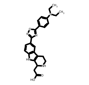 CCN(CC)c1ccc(-c2nc(-c3ccc4[nH]c5c(c4c3)CCNC5CC(=O)O)no2)cc1